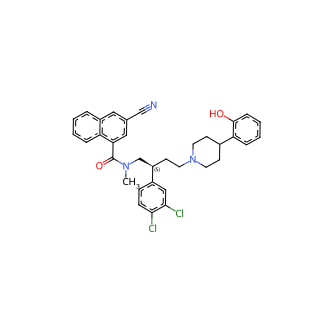 CN(C[C@@H](CCN1CCC(c2ccccc2O)CC1)c1ccc(Cl)c(Cl)c1)C(=O)c1cc(C#N)cc2ccccc12